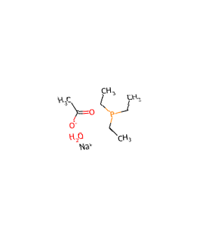 CC(=O)[O-].CCP(CC)CC.O.[Na+]